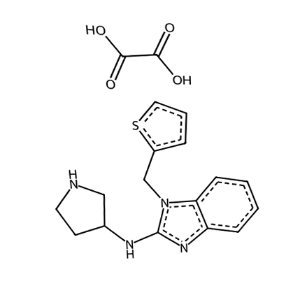 O=C(O)C(=O)O.c1csc(Cn2c(NC3CCNC3)nc3ccccc32)c1